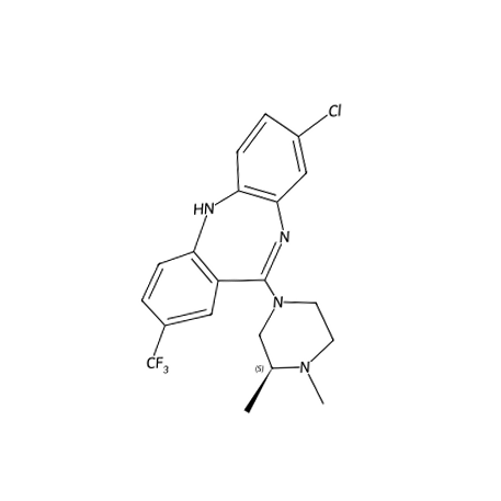 C[C@H]1CN(C2=Nc3cc(Cl)ccc3Nc3ccc(C(F)(F)F)cc32)CCN1C